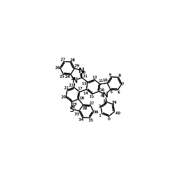 c1ccc(-n2c3ccccc3c3cc4c(cc32)c2c3c(ccc2n2c5ccccc5nc42)sc2ccccc23)cc1